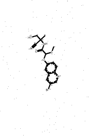 CSC(Oc1ccc2ncc(Br)cc2c1)C(=O)NC(C)(C#N)CO